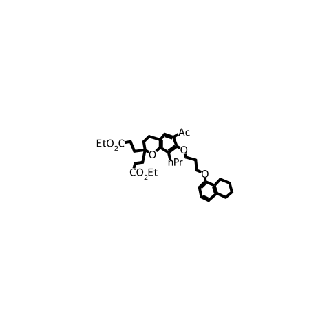 CCCc1c2c(cc(C(C)=O)c1OCCCOc1cccc3c1CCCC3)CCC(CCC(=O)OCC)(CCC(=O)OCC)O2